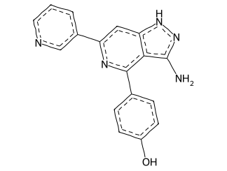 Nc1n[nH]c2cc(-c3cccnc3)nc(-c3ccc(O)cc3)c12